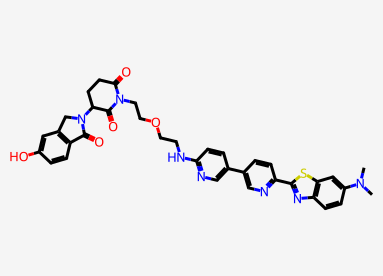 CN(C)c1ccc2nc(-c3ccc(-c4ccc(NCCOCCN5C(=O)CCC(N6Cc7cc(O)ccc7C6=O)C5=O)nc4)cn3)sc2c1